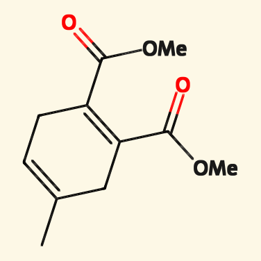 COC(=O)C1=C(C(=O)OC)CC(C)=CC1